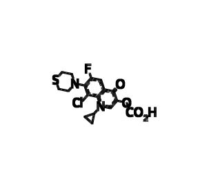 O=C(O)Oc1cn(C2CC2)c2c(Cl)c(N3CCSCC3)c(F)cc2c1=O